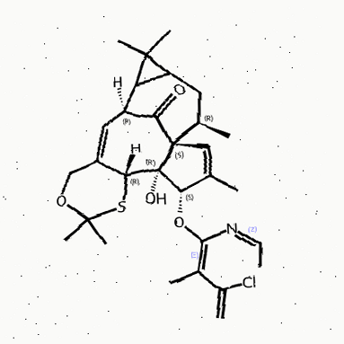 C=C(Cl)/C(C)=C(\N=C/C)O[C@H]1C(C)=C[C@]23C(=O)[C@@H](C=C4COC(C)(C)S[C@H]4[C@]12O)C1C(C[C@H]3C)C1(C)C